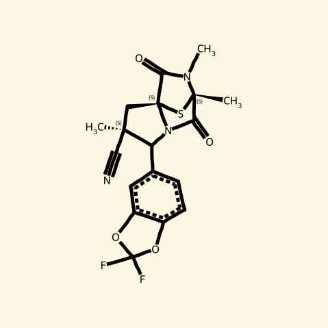 CN1C(=O)[C@@]23C[C@](C)(C#N)C(c4ccc5c(c4)OC(F)(F)O5)N2C(=O)[C@]1(C)S3